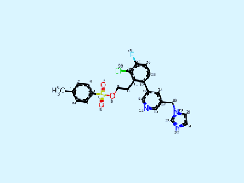 Cc1ccc(S(=O)(=O)OCCc2c(-c3cncc(Cn4ccnc4)c3)ccc(F)c2Cl)cc1